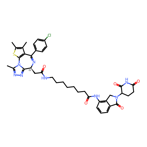 Cc1sc2c(c1C)C(c1ccc(Cl)cc1)=N[C@@H](CC(=O)NCCCCCCCC(=O)Nc1cccc3c1CN(C1CCC(=O)NC1=O)C3=O)c1nnc(C)n1-2